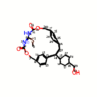 CS/C1=N\C(=O)OCc2ccc(cc2)C(C2CCC(CO)CC2)Cc2ccc(cc2)COC(=O)N1